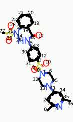 Cc1cc(N2CCN(S(=O)(=O)c3ccc(NC(=O)c4ccccc4N(C)S(C)(=O)=O)cc3)CC2)cc(C)n1